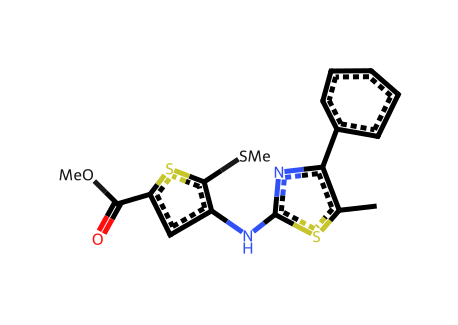 COC(=O)c1cc(Nc2nc(-c3ccccc3)c(C)s2)c(SC)s1